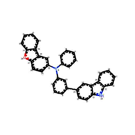 c1ccc(N(c2cccc(-c3ccc4[nH]c5ccccc5c4c3)c2)c2ccc3oc4ccccc4c3c2)cc1